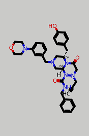 C#CCN1CC(=O)N2[C@@H](Cc3ccc(O)cc3)CN(Cc3cccc(N4CCOCC4)c3)C[C@@H]2N1C(=O)NCc1ccccc1